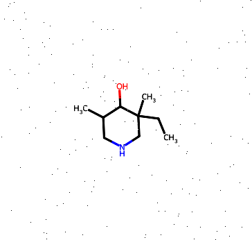 CCC1(C)CNCC(C)C1O